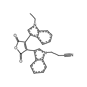 CCn1cc(C2=C(c3cn(CCC#N)c4ccccc34)C(=O)OC2=O)c2ccccc21